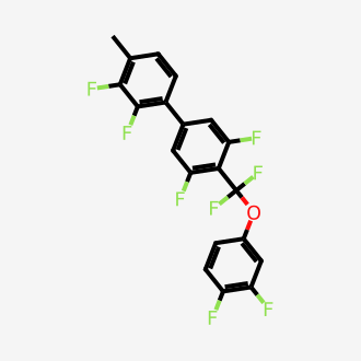 Cc1ccc(-c2cc(F)c(C(F)(F)Oc3ccc(F)c(F)c3)c(F)c2)c(F)c1F